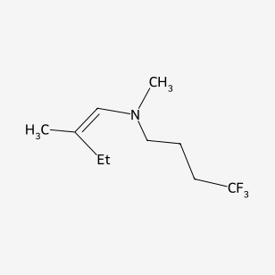 CC/C(C)=C\N(C)CCCC(F)(F)F